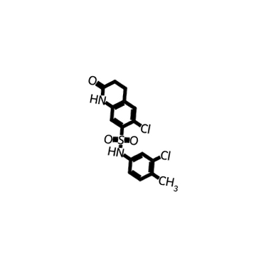 Cc1ccc(NS(=O)(=O)c2cc3c(cc2Cl)CCC(=O)N3)cc1Cl